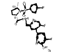 C[C@H]1CC[C@@H](C(=O)NCc2cc(-c3cnc(C(F)(F)F)c(F)c3)c(F)cn2)N1S(=O)(=O)c1ccc(F)cc1